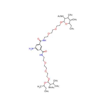 CC(=O)NC(C(OC(C)=O)OC(C)=O)[C@H](OCCOCCOCCNC(=O)c1cc(N)cc(C(=O)NCCOCCOCCO[C@@H]2OC(COC(C)=O)[C@H](OC(C)=O)C(OC(C)=O)C2NC(C)=O)c1)OC(C)COC(C)=O